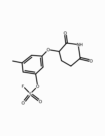 Cc1cc(OC2CCC(=O)NC2=O)cc(OS(=O)(=O)F)c1